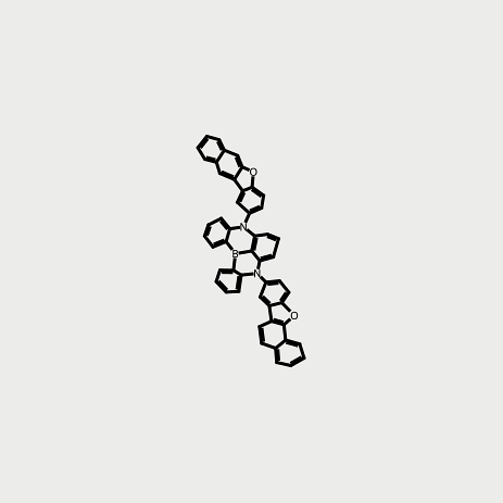 c1ccc2c(c1)B1c3ccccc3N(c3ccc4oc5c6ccccc6ccc5c4c3)c3cccc(c31)N2c1ccc2oc3cc4ccccc4cc3c2c1